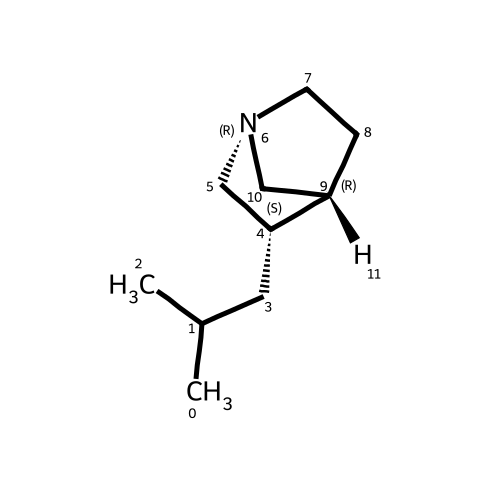 CC(C)C[C@@H]1C[N@]2CC[C@H]1C2